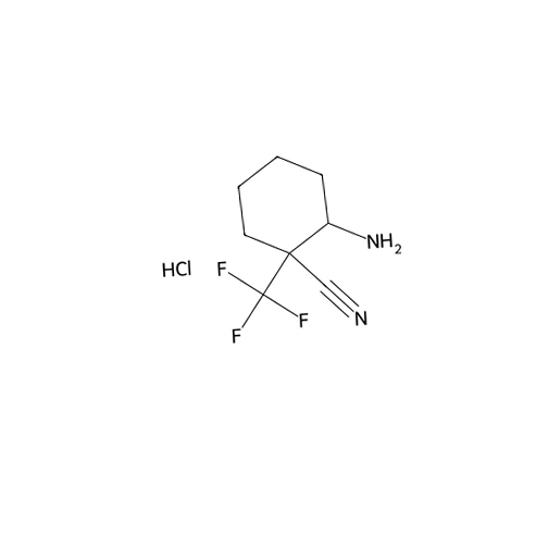 Cl.N#CC1(C(F)(F)F)CCCCC1N